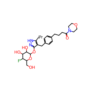 CC(C)c1[nH]nc(OC2OC(CO)C(F)C(O)C2O)c1Cc1ccc(CCCC(=O)N2CCOCC2)cc1